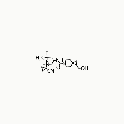 CC(F)(F)C[C@@H](CNC1(C#N)CC1)NC(=O)N1CCC2(CC1)CC2CO